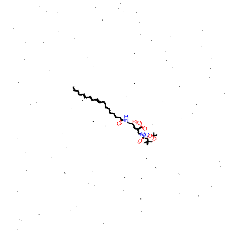 CCCCCCCCC=CCCCCCCCC(=O)NCCCC(CNC(=O)C1OC(C)(C)OCC1(C)C)C(=O)O